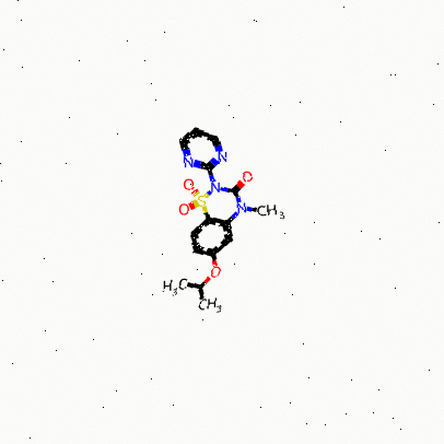 CC(C)Oc1ccc2c(c1)N(C)C(=O)N(c1ncccn1)S2(=O)=O